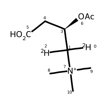 [2H]C([2H])([C@@H](CC(=O)O)OC(C)=O)[N+](C)(C)C